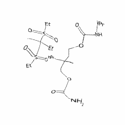 CCC(C)(S(=O)(=O)CC)S(=O)(=O)CC.CCCC(C)(COC(N)=O)COC(=O)NC(C)C